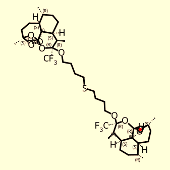 C[C@@H]1CC[C@H]2[C@@H](C)[C@](OCCCCSCCCCO[C@@]3(C(F)(F)F)O[C@@H]4O[C@]5(C)CC[C@H]6[C@H](C)CC[C@@H]([C@H]3C)[C@@]46OO5)(C(F)(F)F)O[C@@H]3O[C@]4(C)CC[C@@H]1[C@]32OO4